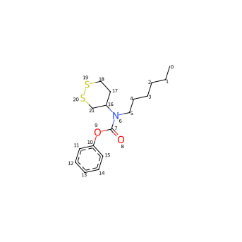 CCCCCCN(C(=O)Oc1ccccc1)C1CCSSC1